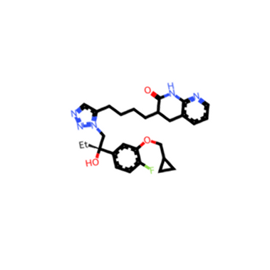 CC[C@@](O)(Cn1nncc1CCCCC1Cc2cccnc2NC1=O)c1ccc(F)c(OCC2CC2)c1